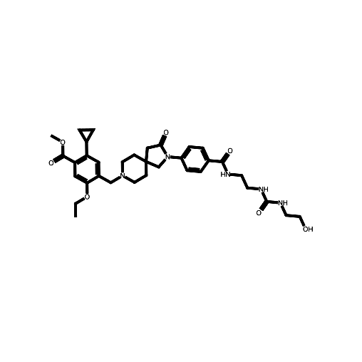 CCOc1cc(C(=O)OC)c(C2CC2)cc1CN1CCC2(CC1)CC(=O)N(c1ccc(C(=O)NCCNC(=O)NCCO)cc1)C2